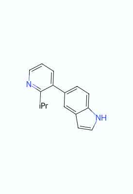 CC(C)c1ncccc1-c1ccc2[nH]ccc2c1